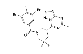 Cc1cc(C2CN(C(=O)c3cc(Br)c(C)c(Br)c3)CC(F)(F)C2)n2ncnc2n1